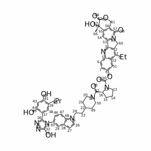 CCc1c2c(nc3ccc(OC(=O)N4CCC[C@H]4C(=O)N4CCC(CCn5ccc6cc(-n7c(O)nnc7-c7cc(C(C)C)c(O)cc7O)ccc65)CC4)cc13)-c1cc3c(c(=O)n1C2)COC(=O)[C@@]3(C)O